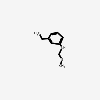 CCc1cccc(NCSC)c1